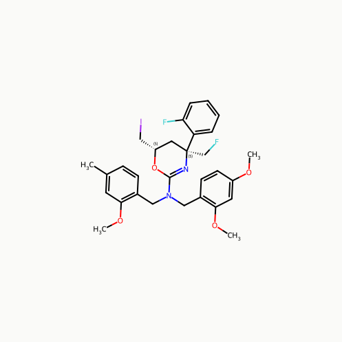 COc1ccc(CN(Cc2ccc(C)cc2OC)C2=N[C@](CF)(c3ccccc3F)C[C@@H](CI)O2)c(OC)c1